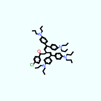 CCCN(CCC)c1ccc(C(=CC(C=C(c2ccc(N(CCC)CCC)cc2)c2ccc(N(CCC)CCC)cc2)CC(=O)c2ccc(Cl)cc2)c2ccc(N(CCC)CCC)cc2)cc1